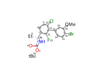 CC[C@@H](NC(=O)OC(C)(C)C)c1ccc(Cl)c(-c2ccc(Br)c(OC)c2)c1F